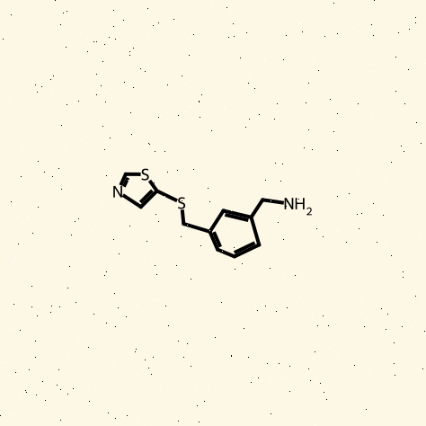 NCc1cccc(CSc2cncs2)c1